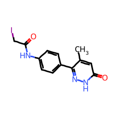 Cc1cc(=O)[nH]nc1-c1ccc(NC(=O)CI)cc1